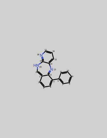 C1=c2cccc(-c3ccccc3)c2=Nc2cccnc2N1